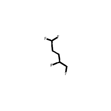 FCC(F)CCC(F)F